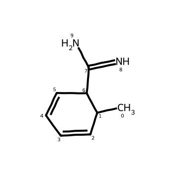 CC1C=CC=CC1C(=N)N